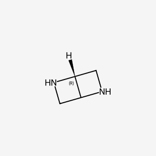 C1N[C@@H]2CNC12